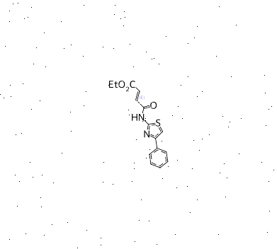 CCOC(=O)/C=C/C(=O)Nc1nc(-c2ccccc2)cs1